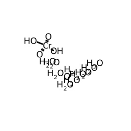 O.O.O.O.O.O.O.O.O.O.[O]=[Cr](=[O])([OH])[OH]